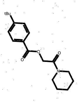 CC(C)(C)c1ccc(C(=O)OCC(=O)N2CCCCC2)cc1